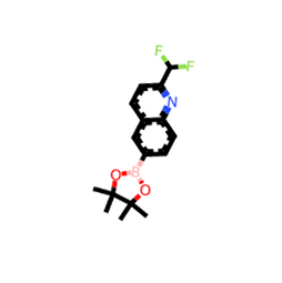 CC1(C)OB(c2ccc3nc(C(F)F)ccc3c2)OC1(C)C